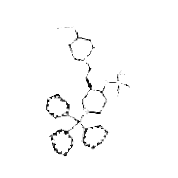 CCOC(=O)C1CCN(CC=C2CN(C(c3ccccc3)(c3ccccc3)c3ccccc3)CCC2O[Si](C)(C)C(C)(C)C)CC1